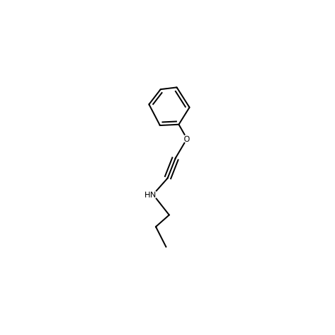 CCCNC#COc1ccccc1